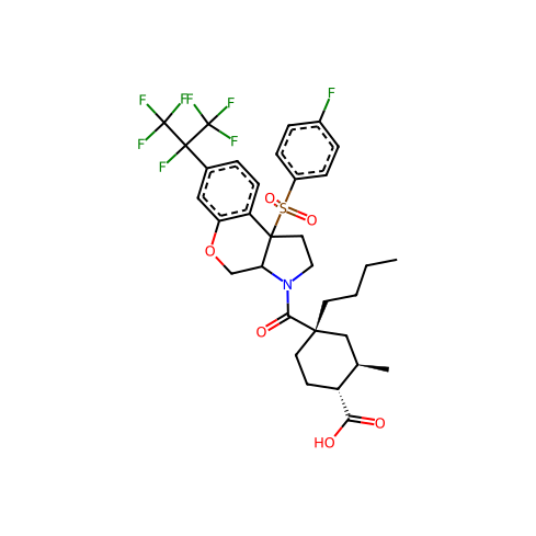 CCCC[C@]1(C(=O)N2CCC3(S(=O)(=O)c4ccc(F)cc4)c4ccc(C(F)(C(F)(F)F)C(F)(F)F)cc4OCC23)CC[C@@H](C(=O)O)[C@H](C)C1